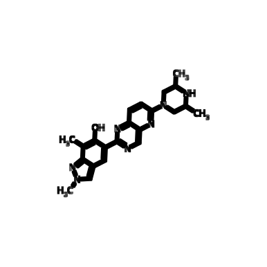 Cc1c(O)c(-c2ncc3nc(N4CC(C)NC(C)C4)ccc3n2)cc2cn(C)nc12